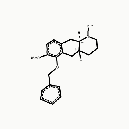 CCCN1CCC[C@@H]2Cc3c(ccc(OC)c3OCc3ccccc3)C[C@H]21